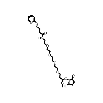 O=C(CCSSc1ccccn1)NCCOCCOCCOCCOCCC(=O)ON1C(=O)CCC1O